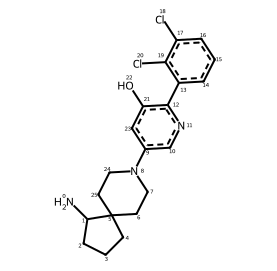 NC1CCCC12CCN(c1cnc(-c3cccc(Cl)c3Cl)c(O)c1)CC2